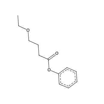 CCOCCCC(=O)Oc1ccccc1